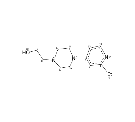 CCc1cc(N2CCN(CCO)CC2)ccn1